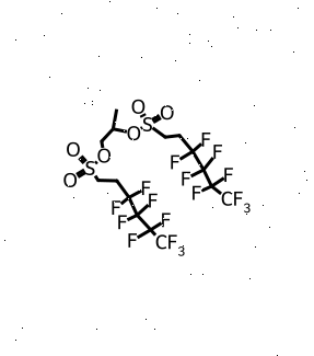 CC(COS(=O)(=O)CCC(F)(F)C(F)(F)C(F)(F)C(F)(F)F)OS(=O)(=O)CCC(F)(F)C(F)(F)C(F)(F)C(F)(F)F